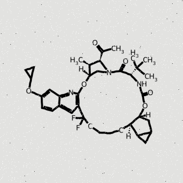 CC(=O)[C@@H]1[C@H](C)[C@@H]2CN1C(=O)[C@H](C(C)(C)C)NC(=O)O[C@@H]1CC3CC3[C@H]1CCCCC(F)(F)c1cc3ccc(OC4CC4)cc3nc1O2